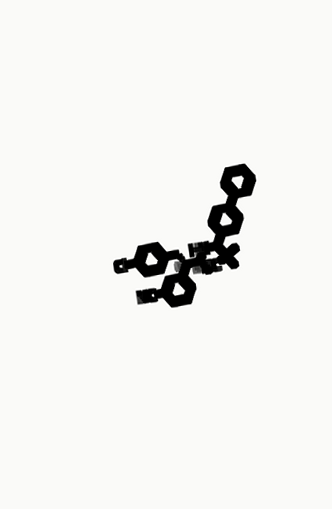 C[C@H](NC(c1ccc(-c2ccccc2)cc1)C(C)(C)C#N)[C@@H](Cc1ccc(Cl)cc1)c1cccc(C#N)c1